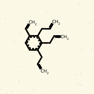 C=CCc1ccc(C=C)c(CC=C)c1CC=C